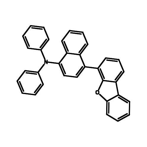 c1ccc(N(c2ccccc2)c2ccc(-c3cccc4c3oc3ccccc34)c3ccccc23)cc1